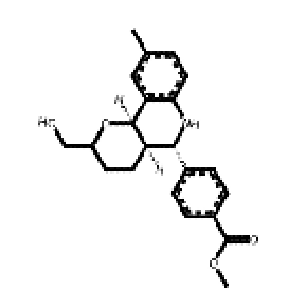 COC(=O)c1ccc([C@H]2Nc3ccc(C)cc3[C@@H]3OC(CO)CC[C@H]23)cc1